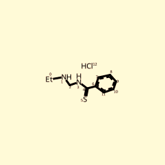 CCNCNC(=S)c1ccccc1.Cl